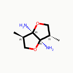 C[C@@H]1CO[C@]2(N)[C@@H](C)CO[C@]12N